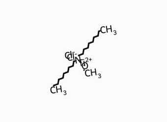 CCCCCCCCCC[N](CCCCCCCCCC)[Ti+2][O]CC.[Cl-].[Cl-]